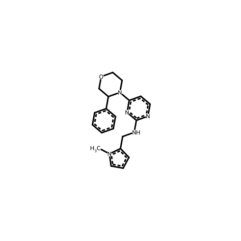 Cn1cccc1CNc1nccc(N2CCOCC2c2ccccc2)n1